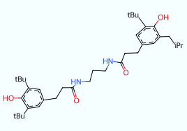 CC(C)Cc1cc(CCC(=O)NCCCNC(=O)CCc2cc(C(C)(C)C)c(O)c(C(C)(C)C)c2)cc(C(C)(C)C)c1O